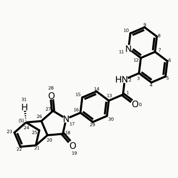 O=C(Nc1cccc2cccnc12)c1ccc(N2C(=O)C3C4C=C[C@H](C4)C3C2=O)cc1